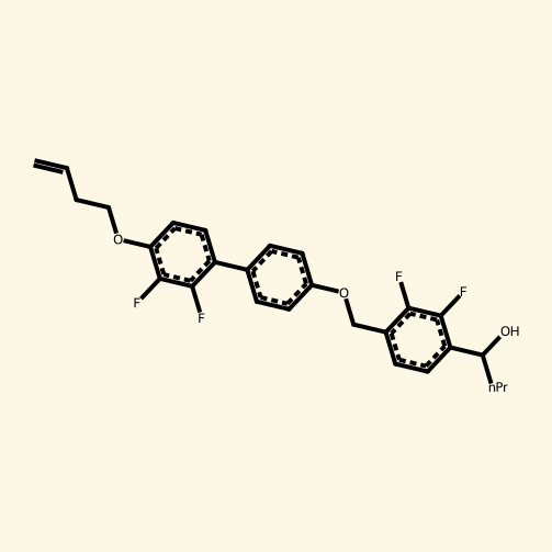 C=CCCOc1ccc(-c2ccc(OCc3ccc(C(O)CCC)c(F)c3F)cc2)c(F)c1F